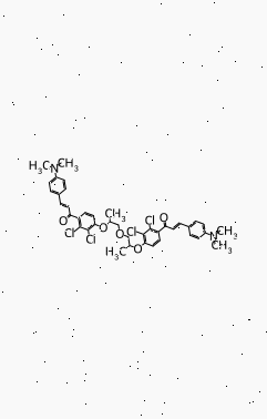 CC(COCC(C)Oc1ccc(C(=O)/C=C/c2ccc(N(C)C)cc2)c(Cl)c1Cl)Oc1ccc(C(=O)/C=C/c2ccc(N(C)C)cc2)c(Cl)c1Cl